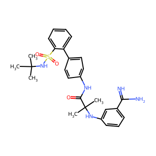 CC(C)(C)NS(=O)(=O)c1ccccc1-c1ccc(NC(=O)C(C)(C)Nc2cccc(C(=N)N)c2)cc1